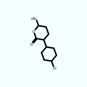 CCCCC1CCC(C2CCC(CC)CC2)C(=O)O1